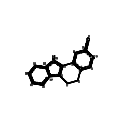 O=c1cc2n(cn1)CCc1c-2[nH]c2ccccc12